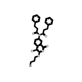 O=C(CCc1ccccc1)N(C(=O)CCc1ccccc1)c1ccc2c(Cl)c(OCCCBr)oc(=O)c2c1